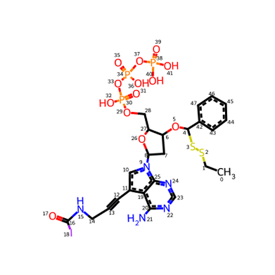 CCSSC(OC1CC(n2cc(C#CCNC(=O)I)c3c(N)ncnc32)OC1COP(=O)(O)OP(=O)(O)OP(=O)(O)O)c1ccccc1